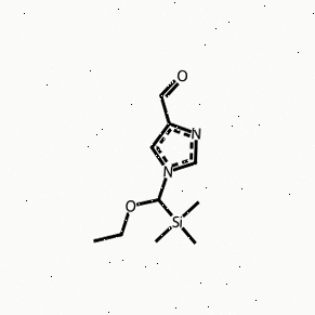 CCOC(n1cnc(C=O)c1)[Si](C)(C)C